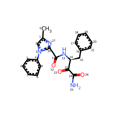 Cc1cn(-c2ccccc2)c(C(=O)N[C@@H](Cc2ccccc2)C(=O)C(N)=O)n1